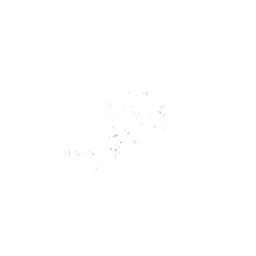 CC(=O)OC(C(C)=O)C1=C(C(=O)OC(C)OC(=O)OC2CCCCC2)N2C(=O)[C@@H](NC(=O)Cc3csc(N)n3)[C@@H]2SC1